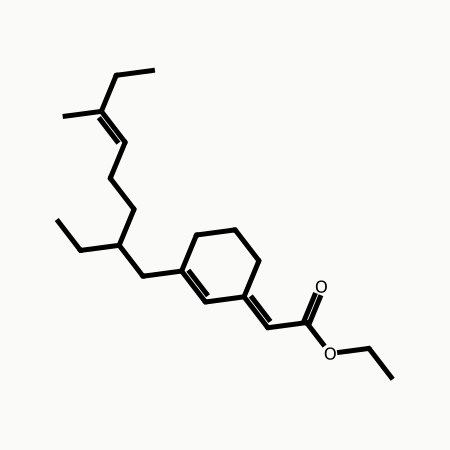 CCOC(=O)/C=C1/C=C(CC(CC)CC/C=C(\C)CC)CCC1